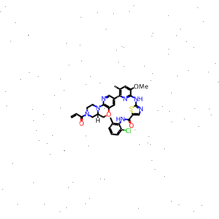 C=CC(=O)N1CCN2c3ncc(-c4nc(Nc5ncc(C(=O)Nc6c(C)cccc6Cl)s5)c(OC)cc4C)cc3OC[C@@H]2C1